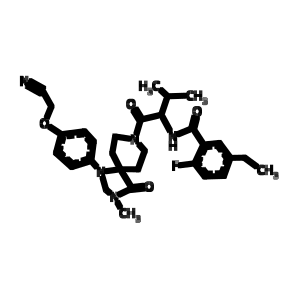 CCc1ccc(F)c(C(=O)NC(C(=O)N2CCC3(CC2)C(=O)N(C)CN3c2ccc(OCC#N)cc2)C(C)C)c1